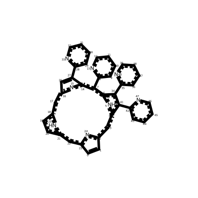 C1=Cc2cc3[nH]c(c(-c4ccccn4)c4nc(cc5ccc(cc1n2)[nH]5)C=C4c1ccccn1)c(-c1ccccn1)c3-c1ccccn1